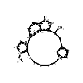 CC1Cc2ccn(n2)CCCCOc2c(cnn2C)-c2ccc3[nH]nc1c3c2